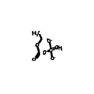 CCOC=O.[O-][Cl+3]([O-])([O-])O